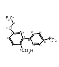 O=C(O)c1ccc(OCC(F)(F)F)nc1-c1ccc(P)cc1